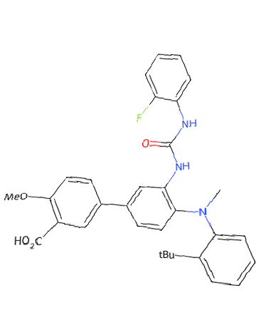 COc1ccc(-c2ccc(N(C)c3ccccc3C(C)(C)C)c(NC(=O)Nc3ccccc3F)c2)cc1C(=O)O